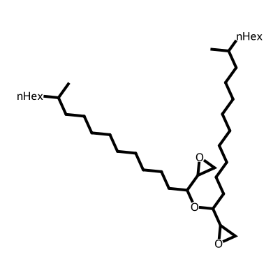 CCCCCCC(C)CCCCCCCCCC(OC(CCCCCCCCCC(C)CCCCCC)C1CO1)C1CO1